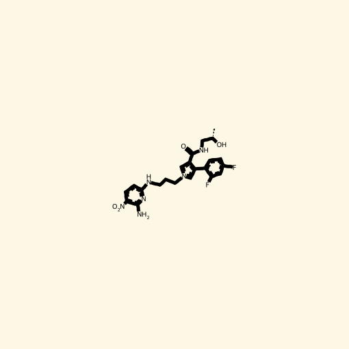 C[C@H](O)CNC(=O)c1cn(CCCNc2ccc([N+](=O)[O-])c(N)n2)cc1-c1ccc(F)cc1F